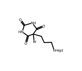 CCCCCCCCCCC1(Br)C(=O)NC(=O)NC1=O